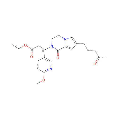 CCOC(=O)C[C@@H](c1ccc(OC)nc1)N1CCn2cc(CCCC(C)=O)cc2C1=O